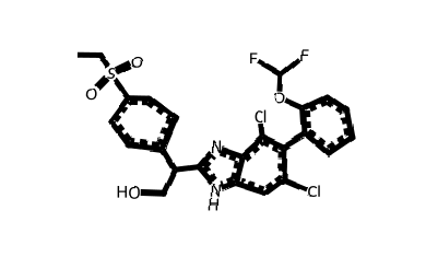 CCS(=O)(=O)c1ccc(C(CO)c2nc3c(Cl)c(-c4ccccc4OC(F)F)c(Cl)cc3[nH]2)cc1